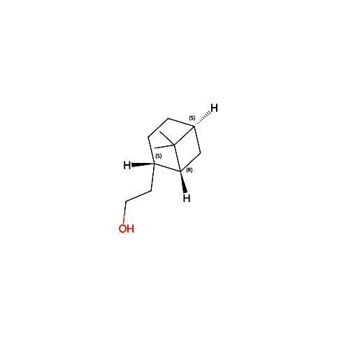 CC1(C)[C@H]2CC[C@@H](CCO)[C@H]1C2